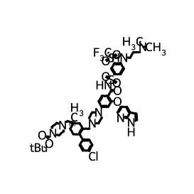 CN(C)CCCNc1ccc(S(=O)(=O)NC(=O)c2ccc(N3CCN(CC4=C(c5ccc(Cl)cc5)CC[C@@](C)(CN5CCN(C(=O)OC(C)(C)C)CC5)C4)CC3)cc2Oc2cnc3[nH]ccc3c2)cc1S(=O)(=O)C(F)(F)F